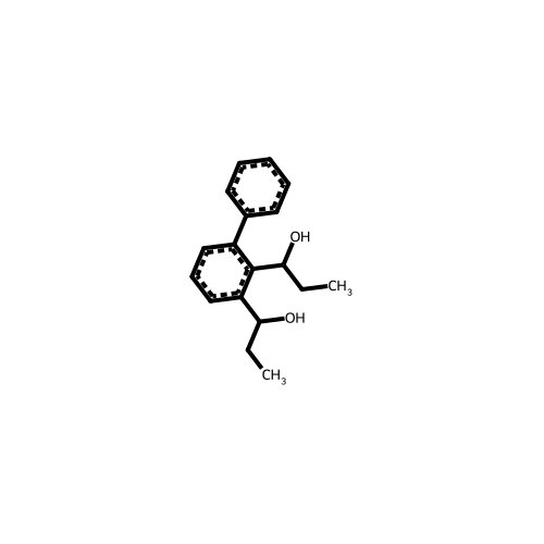 CCC(O)c1cccc(-c2ccccc2)c1C(O)CC